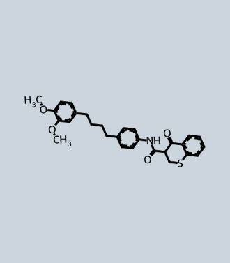 COc1ccc(CCCCc2ccc(NC(=O)C3CSc4ccccc4C3=O)cc2)cc1OC